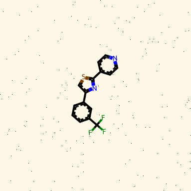 FC(F)(F)c1cccc(-c2csc(-c3ccncc3)n2)c1